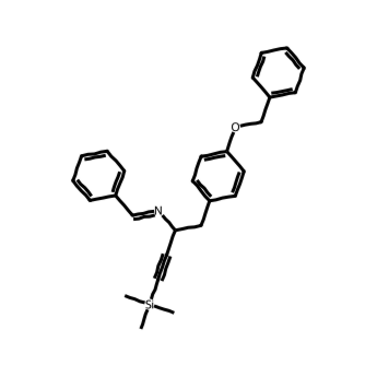 C[Si](C)(C)C#CC(Cc1ccc(OCc2ccccc2)cc1)N=Cc1ccccc1